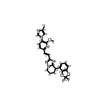 COc1nc(/C=C/c2nc3n(n2)CCCC3c2cccc3c2OC(F)(F)O3)ccc1-n1cnc(C)c1